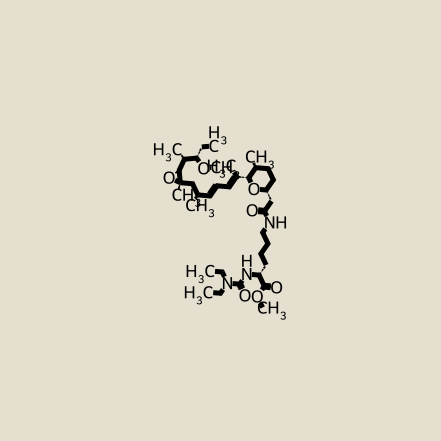 CC[C@H](OC)[C@@H](C)[C@H]1O[C@]1(C)C[C@H](C)/C=C/C=C(\C)[C@H]1O[C@@H](CC(=O)NCCCC[C@@H](NC(=O)N(CC)CC)C(=O)OC)CC[C@@H]1C